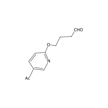 CC(=O)c1ccc(OCCCC=O)nc1